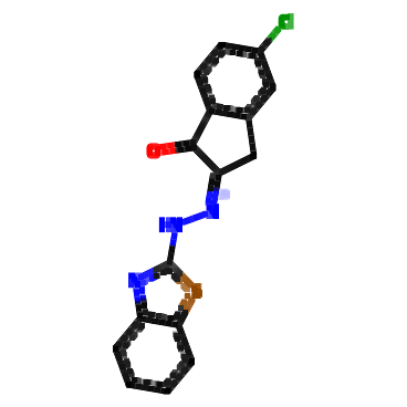 O=C1/C(=N\Nc2nc3ccccc3s2)Cc2cc(Cl)ccc21